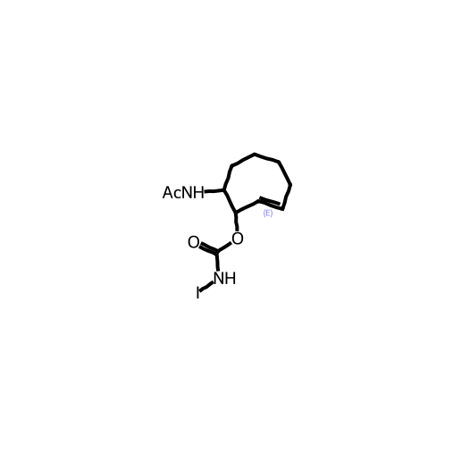 CC(=O)NC1CCCC/C=C/C1OC(=O)NI